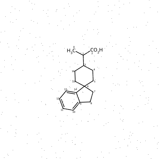 CC(C(=O)O)C1CCC2(CCc3ccccc32)CC1